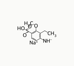 CCc1c([NH-])ccc(S(=O)(=O)O)c1OC.[Na+]